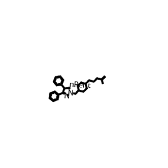 C=C(C)CCCC1CCC(CN2N=C(c3ccccc3)C(c3ccccc3)C2CCCCC)CC1